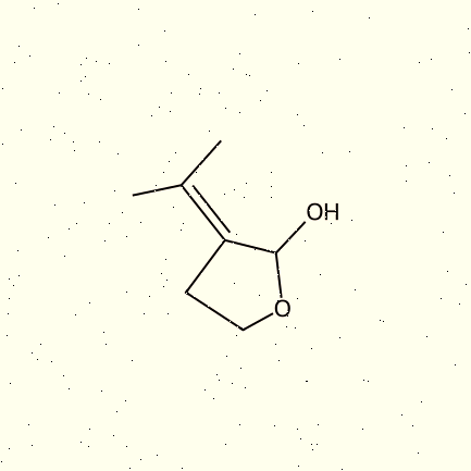 CC(C)=C1CCOC1O